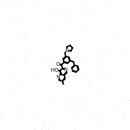 Cc1cnc2c(O)c(C(=O)c3cc(Cc4ccccc4)cc(CN4CCCC4)c3)ncc2c1